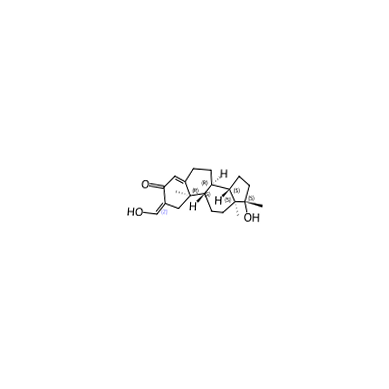 C[C@]12C/C(=C/O)C(=O)C=C1CC[C@@H]1[C@@H]2CC[C@@]2(C)[C@H]1CC[C@]2(C)O